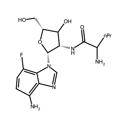 CCCC(N)C(=O)N[C@H]1C(O)[C@@H](CO)O[C@H]1n1cnc2c(N)ccc(F)c21